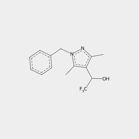 Cc1nn(Cc2ccccc2)c(C)c1C(O)C(F)(F)F